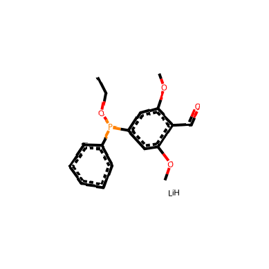 CCOP(c1ccccc1)c1cc(OC)c(C=O)c(OC)c1.[LiH]